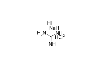 Cl.I.N=C(N)N.[NaH]